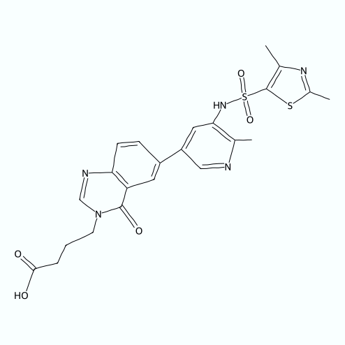 Cc1nc(C)c(S(=O)(=O)Nc2cc(-c3ccc4ncn(CCCC(=O)O)c(=O)c4c3)cnc2C)s1